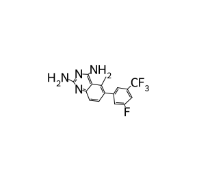 Cc1c(-c2cc(F)cc(C(F)(F)F)c2)ccc2nc(N)nc(N)c12